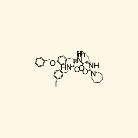 CC(C)C[C@H](NC(=O)N1CCCCCC1)C(=O)N[C@@H](Cc1ccc(OCc2ccccc2)cc1)C(=O)NCc1cccc(I)c1